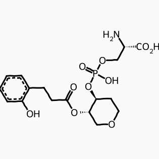 N[C@@H](COP(=O)(O)O[C@H]1CCOC[C@@H]1OC(=O)CCc1ccccc1O)C(=O)O